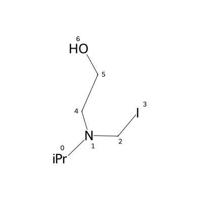 CC(C)N(CI)CCO